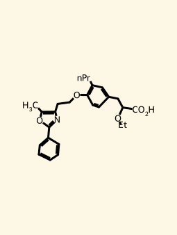 CCCc1cc(CC(OCC)C(=O)O)ccc1OCCc1nc(-c2ccccc2)oc1C